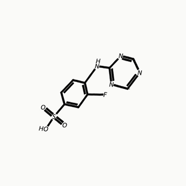 O=S(=O)(O)c1ccc(Nc2n[c]ncn2)c(F)c1